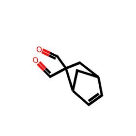 O=CC1(C=O)CC2C=CC1C2